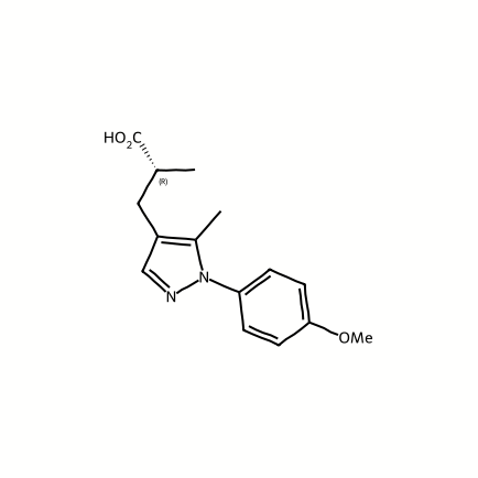 COc1ccc(-n2ncc(C[C@@H](C)C(=O)O)c2C)cc1